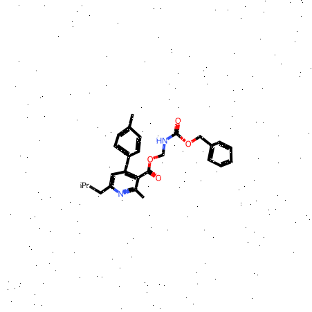 Cc1ccc(-c2cc(CC(C)C)nc(C)c2C(=O)OCNC(=O)OCc2ccccc2)cc1